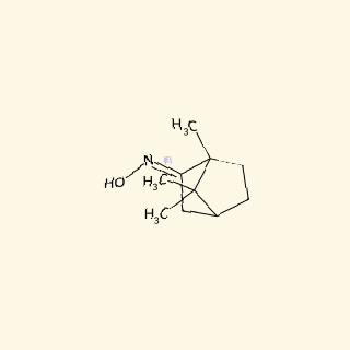 CC12CCC(C/C1=N\O)C2(C)C